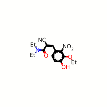 CCOc1c(O)ccc(C=C(C#N)C(=O)N(CC)CC)c1[N+](=O)[O-]